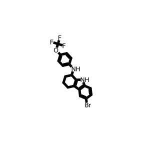 FC(F)(F)Oc1ccc(NC2CCCc3c2[nH]c2ccc(Br)cc32)cc1